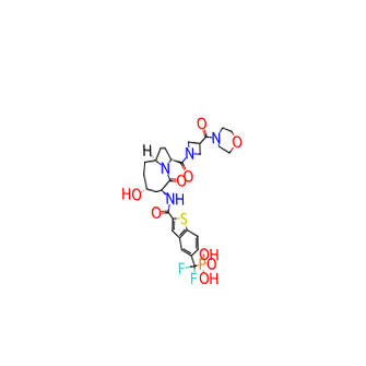 O=C(N[C@H]1C[C@H](O)CC[C@H]2CC[C@@H](C(=O)N3CC(C(=O)N4CCOCC4)C3)N2C1=O)c1cc2cc(C(F)(F)P(=O)(O)O)ccc2s1